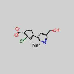 O=C([O-])c1ccc(-c2cncc(CO)c2)cc1Cl.[Na+]